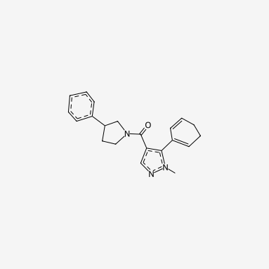 Cn1ncc(C(=O)N2CCC(c3ccccc3)C2)c1C1=CCCC=C1